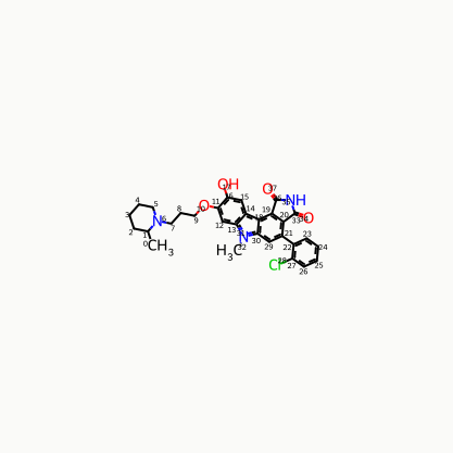 CC1CCCCN1CCCOc1cc2c(cc1O)c1c3c(c(-c4ccccc4Cl)cc1n2C)C(=O)NC3=O